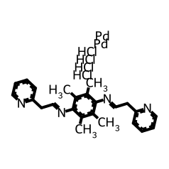 Cc1c(C)c(N=CCc2ccccn2)c(C)c(C)c1N=CCc1ccccn1.Cl.Cl.Cl.Cl.[Pd].[Pd]